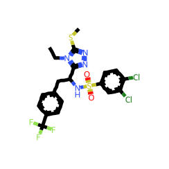 CCn1c(SC)nnc1C(Cc1ccc(C(F)(F)F)cc1)NS(=O)(=O)c1ccc(Cl)c(Cl)c1